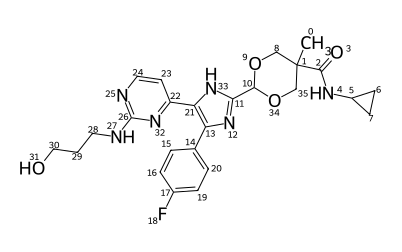 CC1(C(=O)NC2CC2)COC(c2nc(-c3ccc(F)cc3)c(-c3ccnc(NCCCO)n3)[nH]2)OC1